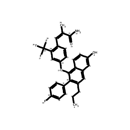 CCCc1cc2cc(O)ccc2c(Oc2ccc(C=C(C)C(N)=O)c(C(F)(F)F)c2)c1-c1ccc(F)cc1